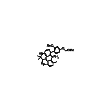 COCOc1ccc(-c2ccc3c(c2C(N)c2cc(F)ccc2C)N(C)C(=O)C(C)(C)N3)c(OC)c1